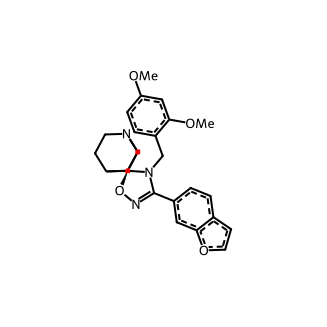 COc1ccc(CN2C(c3ccc4ccoc4c3)=NO[C@@]23CN2CCC3CC2)c(OC)c1